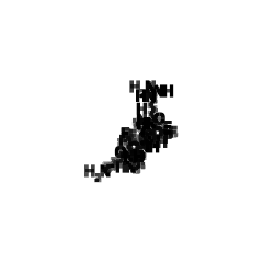 N=C(N)NCCCCC(=O)Nc1cc(C(F)(F)F)cc(NC(=O)Nc2cc(C(F)(F)F)cc(NC(=O)CCCCN)c2OC2CCNC2)c1OC1CCNC1